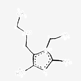 CCNCc1c(C)nc(N)n1CC